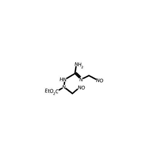 CCOC(=O)N(CN=O)NC(N)=NCN=O